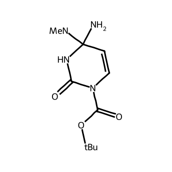 CNC1(N)C=CN(C(=O)OC(C)(C)C)C(=O)N1